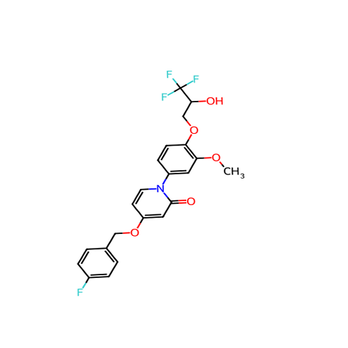 COc1cc(-n2ccc(OCc3ccc(F)cc3)cc2=O)ccc1OCC(O)C(F)(F)F